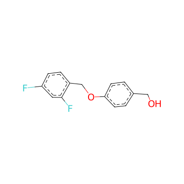 OCc1ccc(OCc2ccc(F)cc2F)cc1